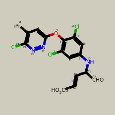 CC(C)c1cc(Oc2c(Cl)cc(NC(C=O)/C=C/C(=O)O)cc2Cl)nnc1Cl